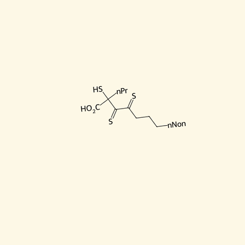 CCCCCCCCCCCCC(=S)C(=S)C(S)(CCC)C(=O)O